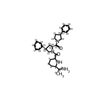 C[C@H](N)C1CCCC(C(=O)N2C[C@@H](c3ccccc3)C[C@H]2C(=O)N2CCC(c3ccccc3)C2)N1